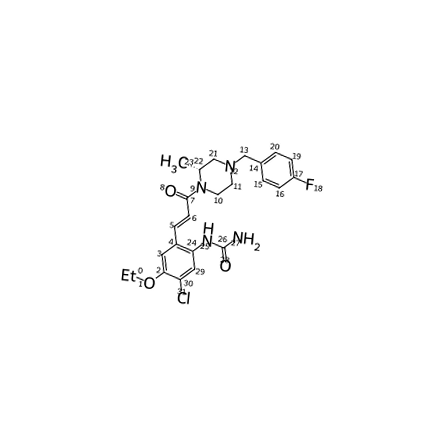 CCOc1cc(/C=C/C(=O)N2CCN(Cc3ccc(F)cc3)C[C@H]2C)c(NC(N)=O)cc1Cl